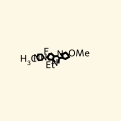 CCn1cc2c3ccc(OC)cc3nc-2c2cc(F)c(N3CCN(C)CC3)cc21